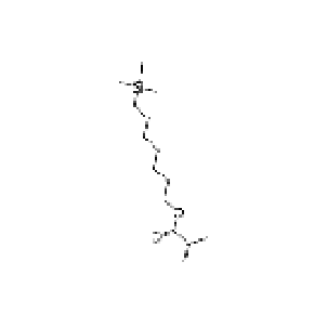 C=C(C)C(=O)OCCCCCCC[Si](C)(C)I